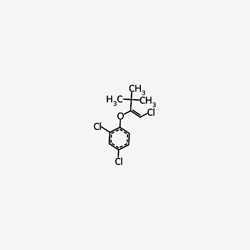 CC(C)(C)C(=CCl)Oc1ccc(Cl)cc1Cl